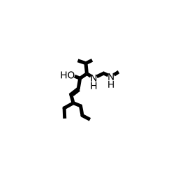 CCCC(/C=C/C(O)C(NCNC)C(C)C)CC